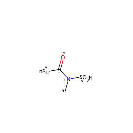 CCCCC(=O)N(C)S(=O)(=O)O